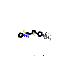 CC[n+]1c(/C=C/c2ccc(-c3ccc(N(C)C)cc3)s2)sc2ccccc21